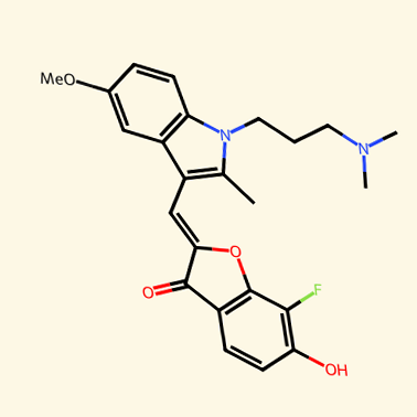 COc1ccc2c(c1)c(C=C1Oc3c(ccc(O)c3F)C1=O)c(C)n2CCCN(C)C